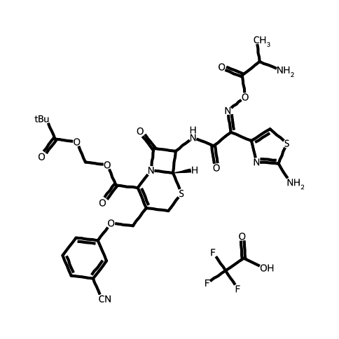 CC(N)C(=O)ON=C(C(=O)NC1C(=O)N2C(C(=O)OCOC(=O)C(C)(C)C)=C(COc3cccc(C#N)c3)CS[C@@H]12)c1csc(N)n1.O=C(O)C(F)(F)F